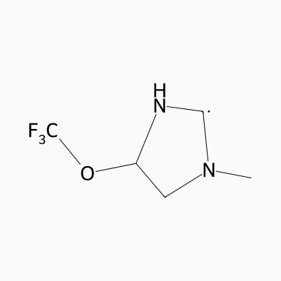 CN1[CH]NC(OC(F)(F)F)C1